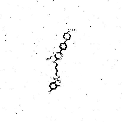 CC(C)C[C@H](NC(=O)c1ccc(N2CCN(C(=O)O)CC2)cc1)C(=O)NCCCCNS(=O)(=O)c1ccc(Cl)cc1Cl